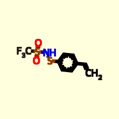 C=Cc1ccc(SNS(=O)(=O)C(F)(F)F)cc1